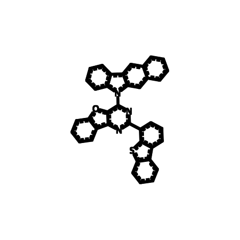 c1ccc2cc3c(cc2c1)c1ccccc1n3-c1nc(-c2cccc3c2sc2ccccc23)nc2c1oc1ccccc12